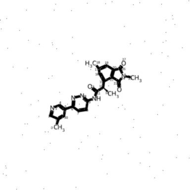 Cc1cncc(-c2ccc(NC(=O)[C@H](C)c3cc(C)cc4c3C(=O)N(C)C4=O)nn2)c1